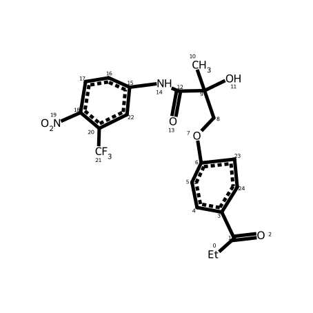 CCC(=O)c1ccc(OCC(C)(O)C(=O)Nc2ccc([N+](=O)[O-])c(C(F)(F)F)c2)cc1